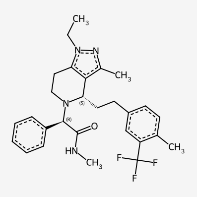 CCn1nc(C)c2c1CCN([C@@H](C(=O)NC)c1ccccc1)[C@H]2CCc1ccc(C)c(C(F)(F)F)c1